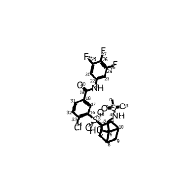 CS(=O)(=O)NCC1(O)C2CC1CC(S(=O)(=O)c1cc(C(=O)Nc3cc(F)c(F)c(F)c3)ccc1Cl)C2